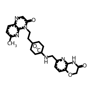 Cc1ccc2ncc(=O)n(CCC34CCC(NCc5ccc6c(n5)NC(=O)CO6)(CC3)CO4)c2n1